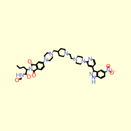 CCCC(C(=O)NC=O)N1C(=O)c2ccc(N3CCN(CC4CCN(CCN5CCN(c6cc(-c7n[nH]c8ccc([N+](=O)[O-])cc78)ccn6)CC5)CC4)CC3)cc2C1=O